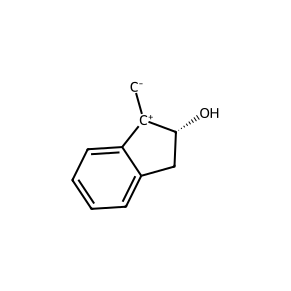 [CH2-][C+]1c2ccccc2C[C@H]1O